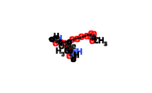 COc1cc2c(cc1OCc1cc(COc3cc4c(cc3C)C(=O)N3c5ccccc5C[C@@H]3CN4)cc(OCCOCCOCCOCC(=O)ON3C(=O)CC(C)C3=O)c1)N=C[C@@H]1Cc3ccccc3N1C2=O